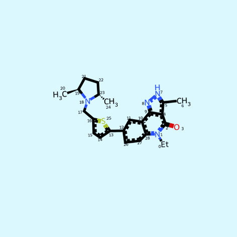 CCn1c(=O)c2c(C)[nH]nc2c2cc(-c3ccc(CN4[C@@H](C)CC[C@@H]4C)s3)ccc21